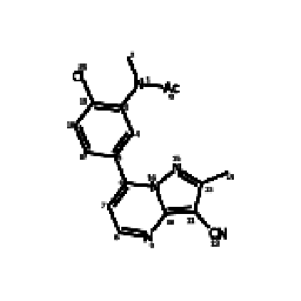 CC(=O)N(C)c1cc(-c2ccnc3c(C#N)c(C)nn23)ccc1Cl